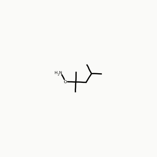 CC(C)CC(C)(C)ON